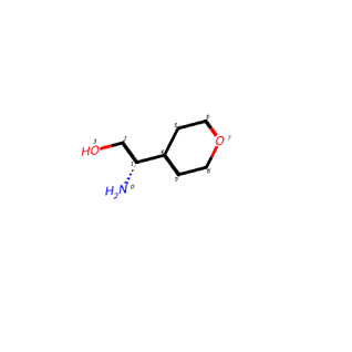 N[C@H](CO)C1CCOCC1